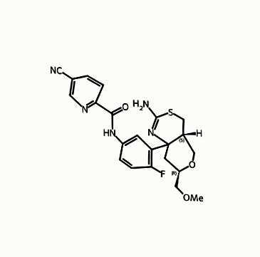 COC[C@H]1CC2(c3cc(NC(=O)c4ccc(C#N)cn4)ccc3F)N=C(N)SC[C@@H]2CO1